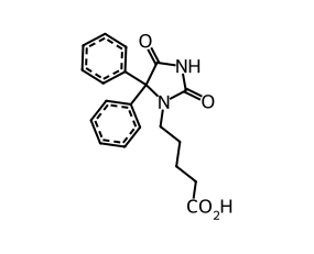 O=C(O)CCCCN1C(=O)NC(=O)C1(c1ccccc1)c1ccccc1